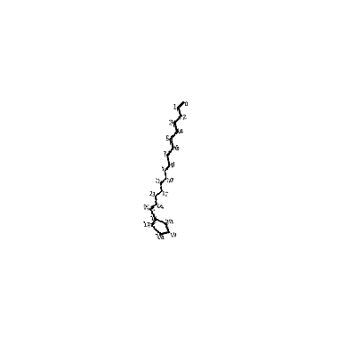 CCCCCCCCCCCCCCC[CH]C1CCCC1